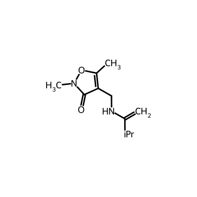 C=C(NCc1c(C)on(C)c1=O)C(C)C